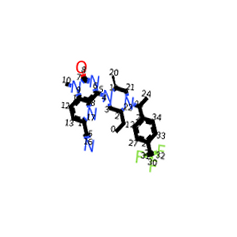 CCC1CN(c2nc(=O)n(C)c3ccc(C#N)nc23)[C@@H](C)CN1C(C)c1ccc(C(F)(F)F)cc1